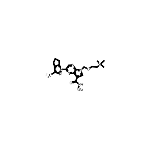 CC(C)(C)NC(=O)c1cn(COCC[Si](C)(C)C)c2ncc(-n3nc(C(F)(F)F)c4c3CCC4)nc12